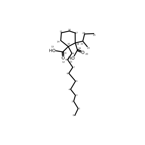 CCCCCCCCCCC1(C(=O)O)CCCCC1(C(=O)O)C(C)CC